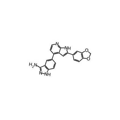 Nc1n[nH]c2ccc(-c3ccnc4[nH]c(-c5ccc6c(c5)OCO6)cc34)cc12